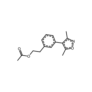 CC(=O)OCCc1cccc(-c2c(C)noc2C)c1